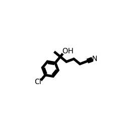 CC(O)(CCCC#N)c1ccc(Cl)cc1